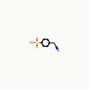 N#CCc1ccc(S(=O)(=O)O)cc1